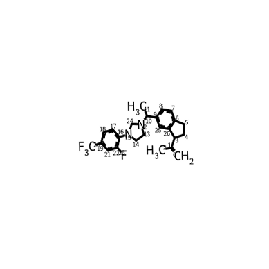 C=C(C)C1CCc2ccc(C(C)N3CCN(c4ccc(C(F)(F)F)cc4F)C3)cc21